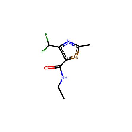 CCNC(=O)c1sc(C)nc1C(F)F